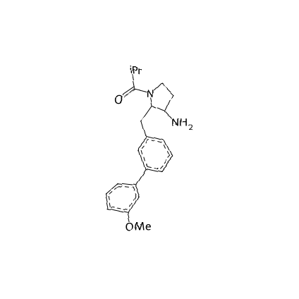 COc1cccc(-c2cccc(CC3C(N)CCN3C(=O)C(C)C)c2)c1